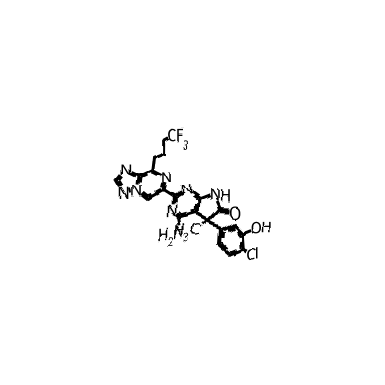 C[C@]1(c2ccc(Cl)c(O)c2)C(=O)Nc2nc(-c3cn4ncnc4c(CCCC(F)(F)F)n3)nc(N)c21